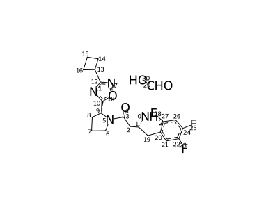 N[C@@H](CC(=O)N1CCC[C@H]1c1nc(C2CCC2)no1)Cc1cc(F)c(F)cc1F.O=CO